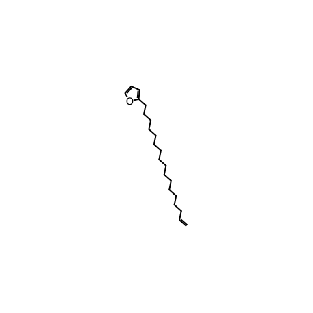 C=CCCCCCCCCCCCCCCCc1ccco1